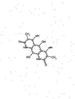 CCCc1c(C)c(=O)[nH]c2c(O)c3[nH]c(=O)c(C)c(CCC)c3c(O)c12